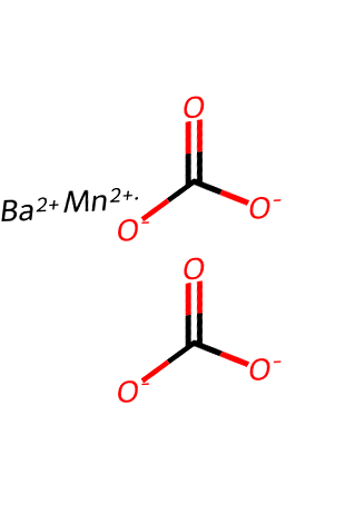 O=C([O-])[O-].O=C([O-])[O-].[Ba+2].[Mn+2]